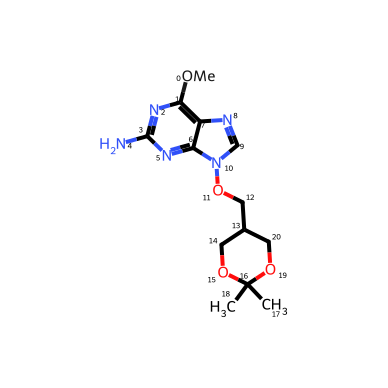 COc1nc(N)nc2c1ncn2OCC1COC(C)(C)OC1